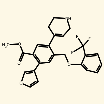 COC(=O)c1cc(C2=CCNCC2)c(COc2ccccc2C(F)(F)F)cc1-c1ccoc1